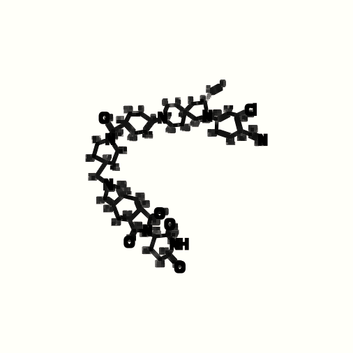 C#C[C@H]1CC2(CCN(c3ccc(C(=O)N4CCC(Cn5cc6cc7c(cc6c5)C(=O)N(C5CCC(=O)NC5=O)C7=O)CC4)cc3)CC2)CN1c1ccc(C#N)c(Cl)c1